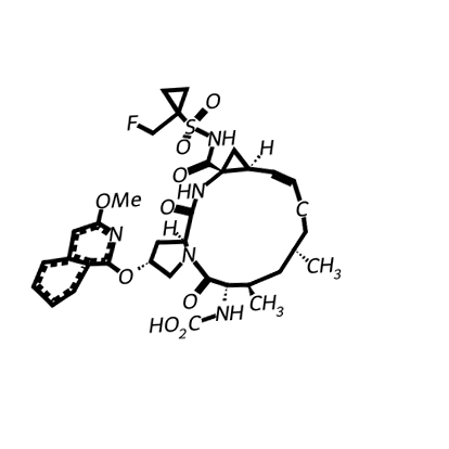 COc1cc2ccccc2c(O[C@@H]2C[C@H]3C(=O)N[C@]4(C(=O)NS(=O)(=O)C5(CF)CC5)C[C@H]4C=CCC[C@H](C)C[C@@H](C)[C@H](NC(=O)O)C(=O)N3C2)n1